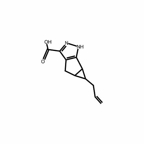 C=CCC1C2Cc3c(C(=O)O)n[nH]c3C12